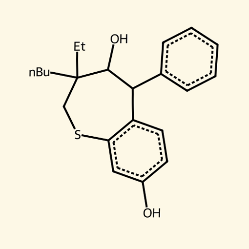 CCCCC1(CC)CSc2cc(O)ccc2C(c2ccccc2)C1O